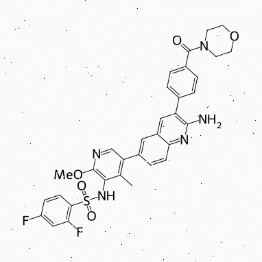 COc1ncc(-c2ccc3nc(N)c(-c4ccc(C(=O)N5CCOCC5)cc4)cc3c2)c(C)c1NS(=O)(=O)c1ccc(F)cc1F